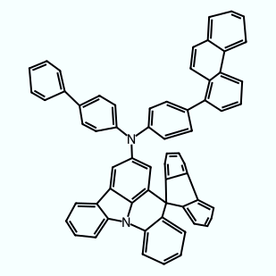 c1ccc(-c2ccc(N(c3ccc(-c4cccc5c4ccc4ccccc45)cc3)c3cc4c5c(c3)c3ccccc3n5-c3ccccc3C43c4ccccc4-c4ccccc43)cc2)cc1